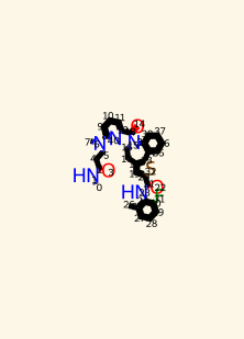 CNC(=O)CCN(C)c1cccc(C(=O)N2CCc3cc(C(=O)Nc4c(C)cccc4F)sc3-c3ccccc32)n1